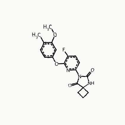 COc1cc(Oc2nc(N3C(=O)NC4(CCC4)C3=O)ccc2F)ccc1C